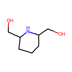 OCC1CCCC(CO)N1